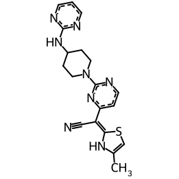 CC1=CS/C(=C(/C#N)c2ccnc(N3CCC(Nc4ncccn4)CC3)n2)N1